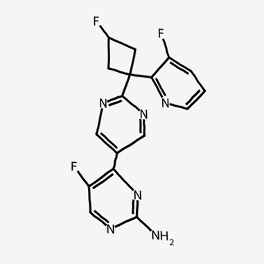 Nc1ncc(F)c(-c2cnc(C3(c4ncccc4F)CC(F)C3)nc2)n1